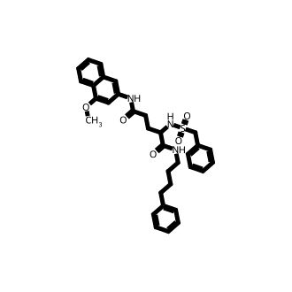 COc1cc(NC(=O)CCC(NS(=O)(=O)Cc2ccccc2)C(=O)NCCCCc2ccccc2)cc2ccccc12